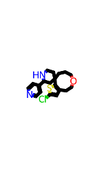 Clc1cc2c(s1)C1(CCCOCC2)CCNC(c2ccncc2)C1